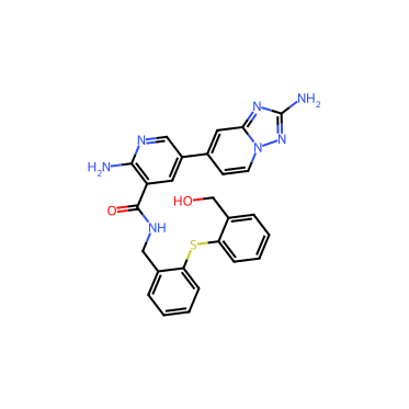 Nc1nc2cc(-c3cnc(N)c(C(=O)NCc4ccccc4Sc4ccccc4CO)c3)ccn2n1